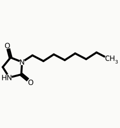 CCCCCCCCN1C(=O)CNC1=O